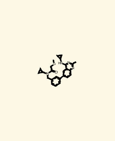 COCC(=O)N(Cc1cccc(-c2ccc3nc(C)nc(NC4CC4)c3c2)c1)C1CC1